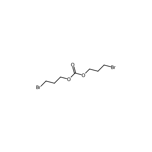 O=C(OCCCBr)OCCCBr